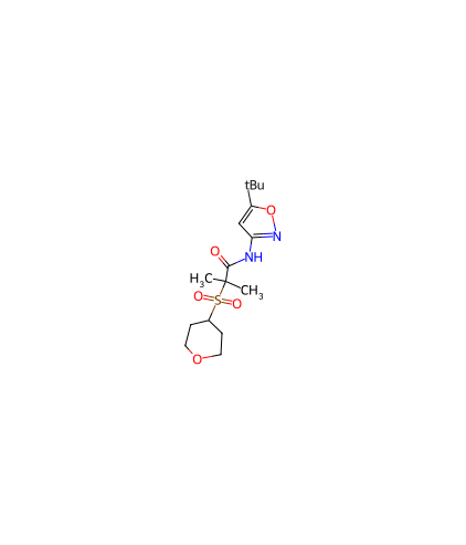 CC(C)(C)c1cc(NC(=O)C(C)(C)S(=O)(=O)C2CCOCC2)no1